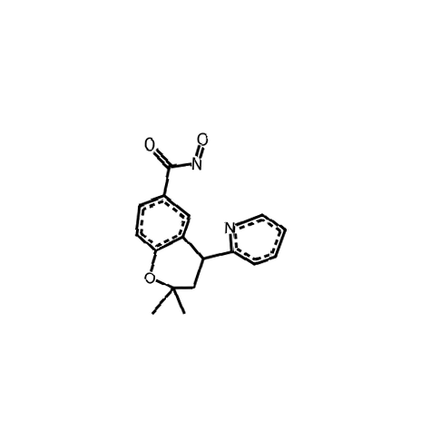 CC1(C)CC(c2ccccn2)c2cc(C(=O)N=O)ccc2O1